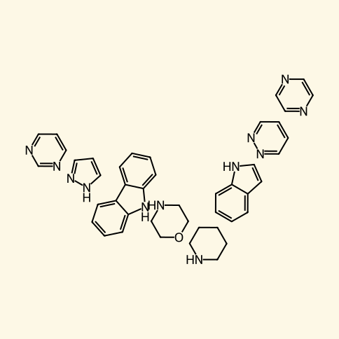 C1CCNCC1.C1COCCN1.c1ccc2[nH]ccc2c1.c1ccc2c(c1)[nH]c1ccccc12.c1ccnnc1.c1cn[nH]c1.c1cnccn1.c1cncnc1